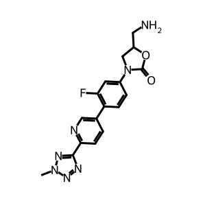 Cn1nnc(-c2ccc(-c3ccc(N4CC(CN)OC4=O)cc3F)cn2)n1